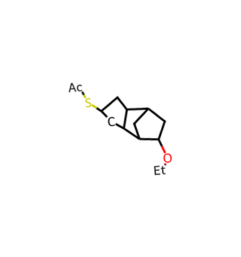 CCOC1CC2CC1C1CC(SC(C)=O)CC21